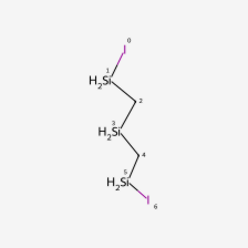 I[SiH2]C[SiH2]C[SiH2]I